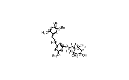 CCOc1nc(NCCc2cc(C(C)(C)C)c(O)cc2C)nc(OCCN2C(C)(C)CC(O)CC2(C)C)n1